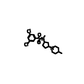 CC1CCN(C2CCC(N(C)S(=O)(=O)c3cc(Cl)cc(Cl)c3)C2)CC1